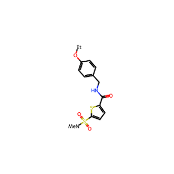 CCOc1ccc(CNC(=O)c2ccc(S(=O)(=O)NC)s2)cc1